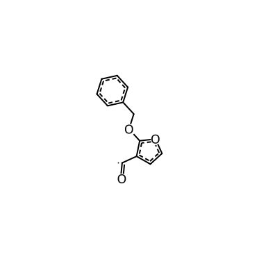 O=[C]c1ccoc1OCc1ccccc1